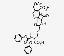 CC(=O)OCC1=C(C(=O)O)N2C(=O)C(NC(=O)CCCC(NP(=O)(Oc3ccccc3)Oc3ccccc3)C(=O)O)[C@@H]2SC1